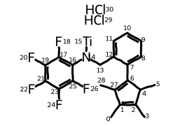 CC1=C(C)C(C)C(c2ccccc2C[N]([Ti])c2c(F)c(F)c(F)c(F)c2F)=C1C.Cl.Cl